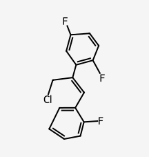 Fc1ccc(F)c(/C(=C/c2ccccc2F)CCl)c1